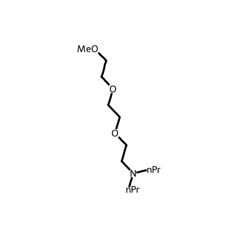 CCCN(CCC)CCOCCOCCOC